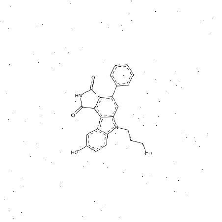 O=C1NC(=O)c2c1c(-c1ccccc1)cc1c2c2cc(O)ccc2n1CCCO